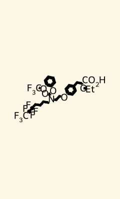 CCOC(Cc1ccc(OCCN(CCCCC(F)(F)C(F)(F)C(F)(F)F)C(=O)Oc2ccccc2OC(F)(F)F)cc1)C(=O)O